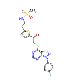 CS(=O)(=O)NCCc1ccc(C(=O)CSc2ncnc3c2cnn3-c2ccc(F)cc2)s1